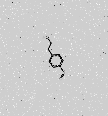 O=Nc1ccc(CCO)cc1